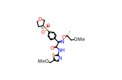 COCc1cnc(NC(=O)/C(=N/O[C@H](C)COC)c2ccc(S(=O)(=O)[C@H]3CCOC3)cc2)s1